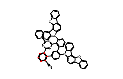 N#Cc1ccccc1-c1ccc(-n2c3ccccc3c3c4oc5ccccc5c4ccc32)c(-c2cccc(-n3c4ccccc4c4c5oc6ccccc6c5ccc43)c2-c2nc(-c3ccccc3)nc(-c3ccccc3)n2)c1